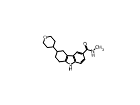 CNC(=O)c1ccc2[nH]c3c(c2c1)CC(C1CCOCC1)CC3